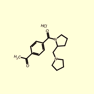 CC(=O)c1ccc(C(=O)N2CCCC2CN2CCCC2)cc1.Cl